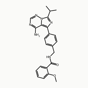 COc1ccccc1C(=O)NCc1ccc(-c2nc(C(C)C)n3ncnc(N)c23)cc1